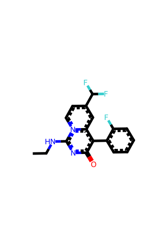 CCNc1nc(=O)c(-c2ccccc2F)c2cc(C(F)F)ccn12